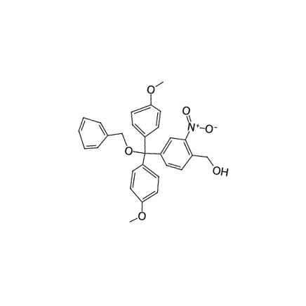 COc1ccc(C(OCc2ccccc2)(c2ccc(OC)cc2)c2ccc(CO)c([N+](=O)[O-])c2)cc1